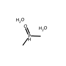 C[PH](C)=O.O.O